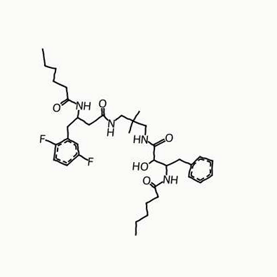 CCCCCC(=O)NC(CC(=O)NCC(C)(C)CNC(=O)C(O)C(Cc1ccccc1)NC(=O)CCCCC)Cc1cc(F)ccc1F